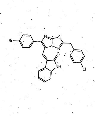 O=C1Nc2ccccc2/C1=C/c1c(-c2ccc(Br)cc2)nc2sc(Cc3ccc(Cl)cc3)nn12